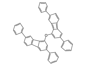 c1ccc(-c2ccc3c(c2)-c2c(Oc4cc(-c5ccccc5)cc5c4=c4cc(-c6ccccc6)ccc4=5)cc(-c4ccccc4)cc2-3)cc1